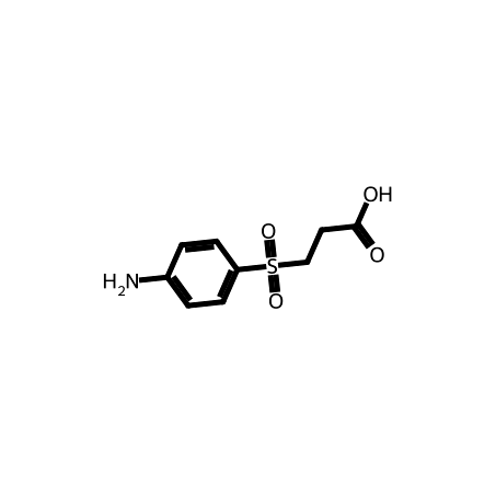 Nc1ccc(S(=O)(=O)CCC(=O)O)cc1